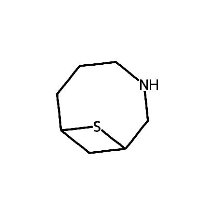 C1CNCC2CC(C1)S2